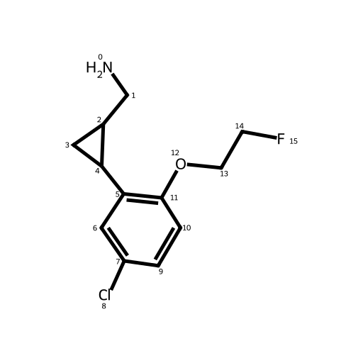 NCC1CC1c1cc(Cl)ccc1OCCF